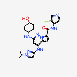 CC(C)n1ccc(Nc2cc(N[C@H]3CC[C@H](O)CC3)nn3c(C(=O)Nc4ccncc4F)ccc23)n1